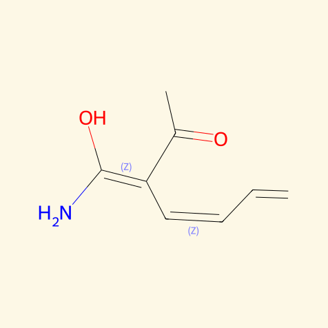 C=C/C=C\C(C(C)=O)=C(/N)O